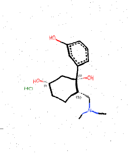 CN(C)C[C@@H]1CC[C@H](O)C[C@@]1(O)c1cccc(O)c1.Cl